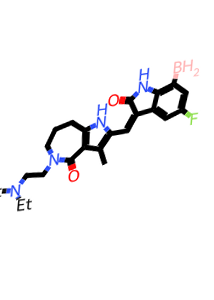 Bc1cc(F)cc2c1NC(=O)/C2=C\c1[nH]c2c(c1C)C(=O)N(CCN(CC)CC)CCC2